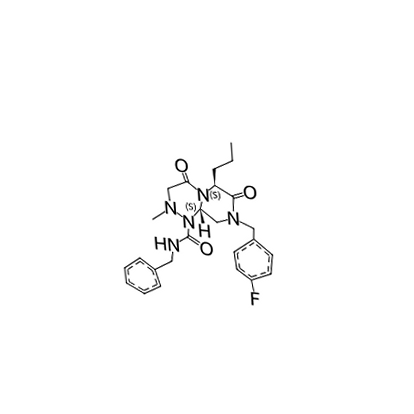 CCC[C@H]1C(=O)N(Cc2ccc(F)cc2)C[C@H]2N1C(=O)CN(C)N2C(=O)NCc1ccccc1